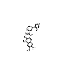 COc1cc2[nH]c(=O)c(C(C)Nc3cc(-c4cncn4C)ccn3)cc2cc1Cl